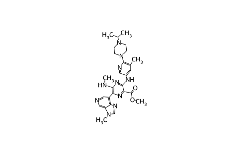 CNc1nc(Nc2cnc(N3CCN(C(C)C)CC3)c(C)c2)c(C(=O)OC)nc1-c1cncc2c1ncn2C